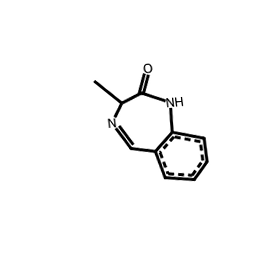 CC1N=Cc2ccccc2NC1=O